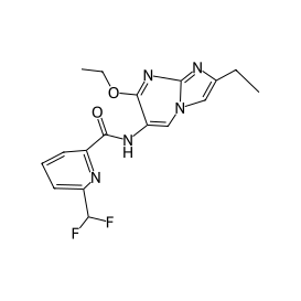 CCOc1nc2nc(CC)cn2cc1NC(=O)c1cccc(C(F)F)n1